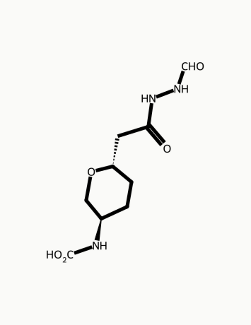 O=CNNC(=O)C[C@@H]1CC[C@@H](NC(=O)O)CO1